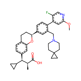 COc1cc(-c2ccc([C@@H]3CCc4ccc([C@H](C5CC5)[C@H](C)C(=O)O)cc4O3)cc2CN2CCC3(CC2)CC3)c(F)cn1